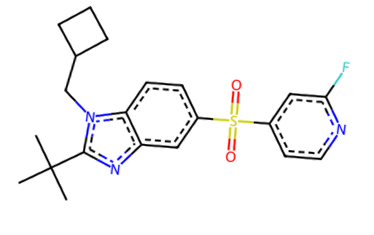 CC(C)(C)c1nc2cc(S(=O)(=O)c3ccnc(F)c3)ccc2n1CC1CCC1